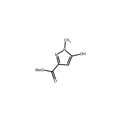 COC(=O)c1cc(O)n(C)n1